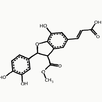 COC(=O)C1c2cc(/C=C/C(=O)O)cc(O)c2OC1c1ccc(O)c(O)c1